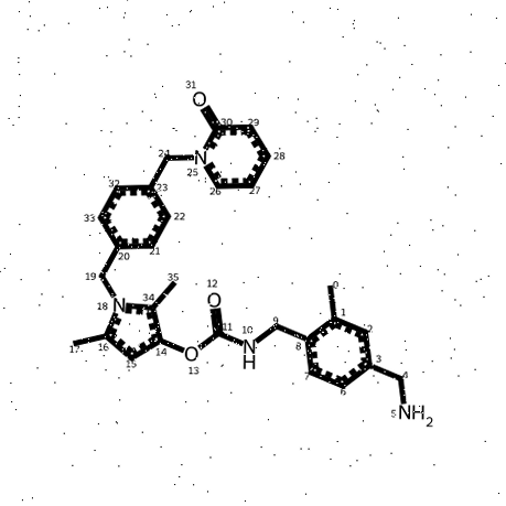 Cc1cc(CN)ccc1CNC(=O)Oc1cc(C)n(Cc2ccc(Cn3ccccc3=O)cc2)c1C